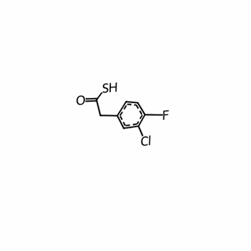 O=C(S)Cc1ccc(F)c(Cl)c1